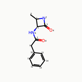 CC1[N]C(=O)[C@H]1NC(=O)Cc1ccccc1